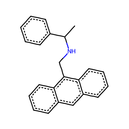 CC(NCc1c2ccccc2cc2ccccc12)c1ccccc1